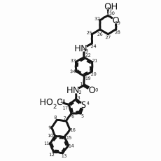 O=C(Nc1scc(C2CCc3ccccc3C2)c1C(=O)O)c1ccc(NCCC2CCO[C@H](O)C2)cc1